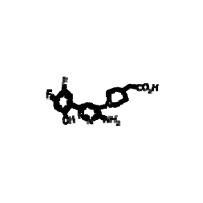 Nc1nnc(-c2cc(F)c(F)cc2O)cc1N1CCC(CC(=O)O)CC1